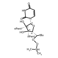 CCCCC[C@@]1(O)[C@@H](C(OO[SiH](C)C)C(C)(C)C)O[C@@H](n2ccc(=O)[nH]c2=O)[C@@]1(O)CCCCC